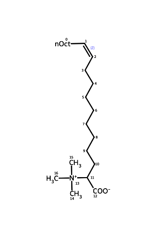 CCCCCCCC/C=C\CCCCCCCCC(C(=O)[O-])[N+](C)(C)C